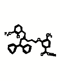 COC(=O)c1ccc(C)c(OCCCN(Cc2cccc(C(F)(F)F)c2Cl)CC(c2ccccc2)c2ccccc2)c1